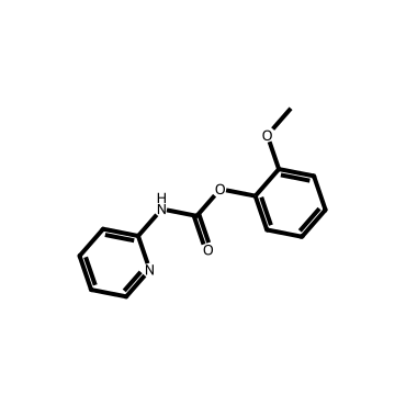 COc1ccccc1OC(=O)Nc1ccccn1